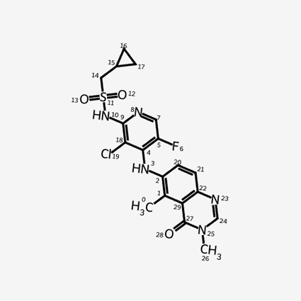 Cc1c(Nc2c(F)cnc(NS(=O)(=O)CC3CC3)c2Cl)ccc2ncn(C)c(=O)c12